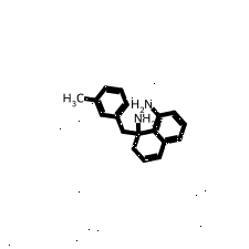 Cc1cccc(CC2(N)CC=Cc3cccc(N)c32)c1